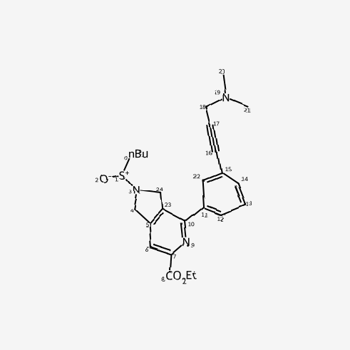 CCCC[S+]([O-])N1Cc2cc(C(=O)OCC)nc(-c3cccc(C#CCN(C)C)c3)c2C1